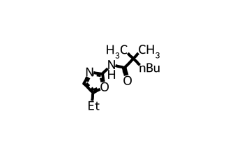 CCCCC(C)(C)C(=O)Nc1ncc(CC)o1